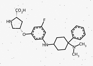 CN(C)C1(c2ccccc2)CCC(Nc2cc(F)cc(O[C@@H]3CN[C@H](C(=O)O)C3)c2)CC1